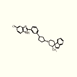 C[C@H]1CN(C2CCC(c3cccc(-c4nc5cc(Cl)ccc5[nH]4)c3)C2)CCC12C=Cc1ccccc12